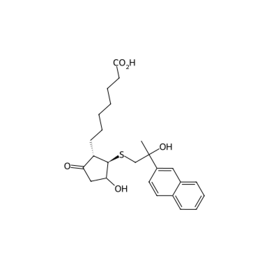 CC(O)(CS[C@H]1C(O)CC(=O)[C@@H]1CCCCCCC(=O)O)c1ccc2ccccc2c1